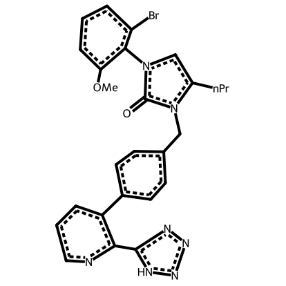 CCCc1cn(-c2c(Br)cccc2OC)c(=O)n1Cc1ccc(-c2cccnc2-c2nnn[nH]2)cc1